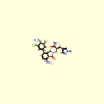 Cn1cc(/C=C(\CN2Cc3c(-c4cc(Cl)c(N)c(Cl)c4)ccc(N)c3C2=O)C(N)=O)cn1